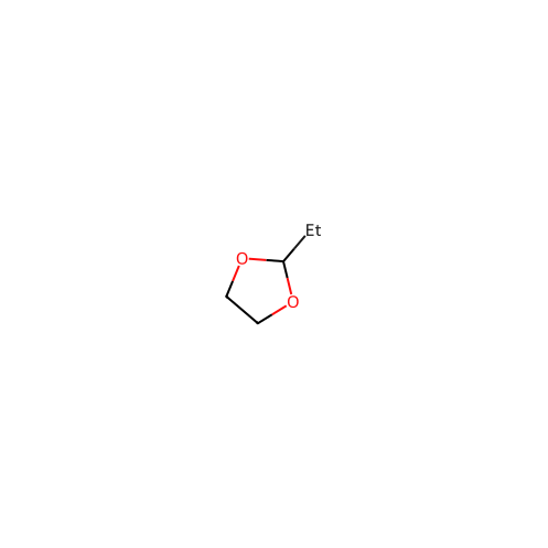 [CH2]CC1OCCO1